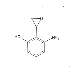 Nc1cccc(O)c1C1CO1